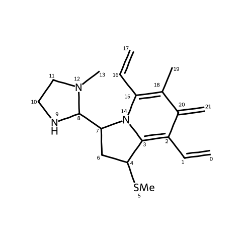 C=CC1=C2C(SC)CC(C3NCCN3C)N2C(C=C)=C(C)C1=C